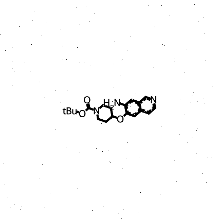 CC(C)(C)OC(=O)N1CCC(Oc2cc3ccncc3cc2N)CC1